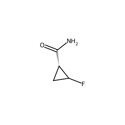 NC(=O)[C@H]1CC1F